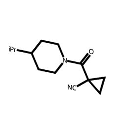 CC(C)C1CCN(C(=O)C2(C#N)CC2)CC1